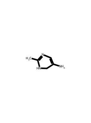 CC1=NC=C(N)CN1